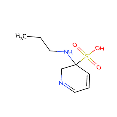 CCCNC1(S(=O)(=O)O)C=CC=NC1